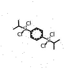 CC(C)[Si](Cl)(Cl)c1ccc([Si](Cl)(Cl)C(C)C)cc1